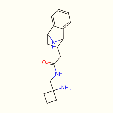 NC1(CNC(=O)CC2CC3NC2c2ccccc23)CCC1